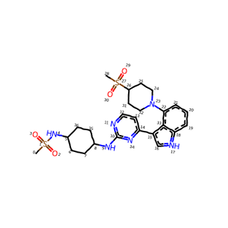 CS(=O)(=O)NC1CCC(Nc2nccc(-c3c[nH]c4cccc(N5CCC(S(C)(=O)=O)CC5)c34)n2)CC1